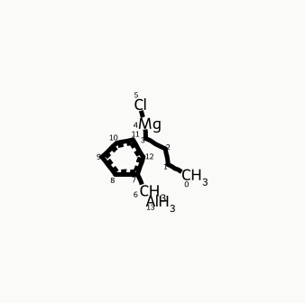 CCC[CH2][Mg][Cl].Cc1cc[c]cc1.[AlH3]